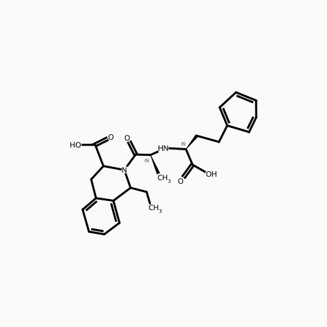 CCC1c2ccccc2CC(C(=O)O)N1C(=O)[C@H](C)N[C@@H](CCc1ccccc1)C(=O)O